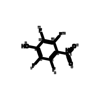 O=[SH](=O)c1c(F)c(F)c(O)c(F)c1F